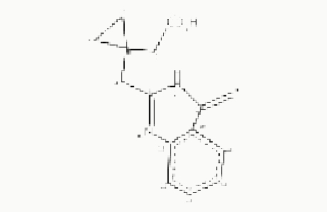 C=C1NC(CC2(CC(=O)O)CC2)=Nc2ccccc21